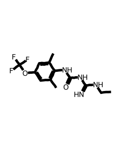 CCNC(=N)NC(=O)Nc1c(C)cc(OC(F)(F)F)cc1C